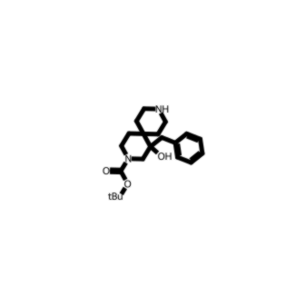 CC(C)(C)OC(=O)N1CCC2(CCNCC2)C(O)(Cc2ccccc2)C1